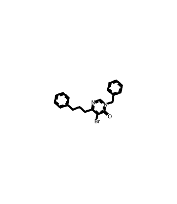 O=c1c(Br)c(CCCc2ccccc2)ncn1Cc1ccccc1